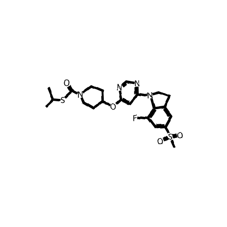 CC(C)SC(=O)N1CCC(Oc2cc(N3CCc4cc(S(C)(=O)=O)cc(F)c43)ncn2)CC1